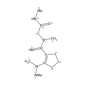 CNN(C)C1=C(C(=N)N(C)CC(=O)NC(C)(C)C)CCC1